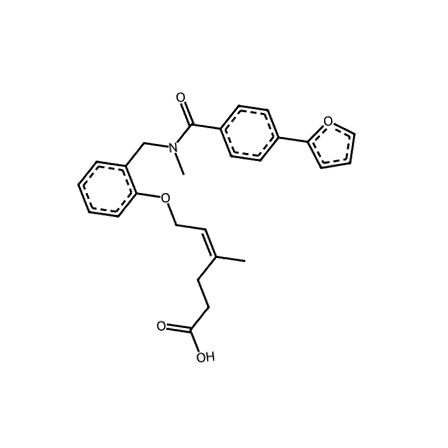 CC(=CCOc1ccccc1CN(C)C(=O)c1ccc(-c2ccco2)cc1)CCC(=O)O